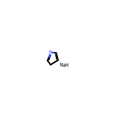 C1=CN=CC1.[NaH]